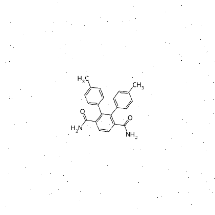 Cc1ccc(-c2c(C(N)=O)ccc(C(N)=O)c2-c2ccc(C)cc2)cc1